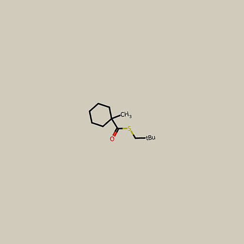 CC(C)(C)CSC(=O)C1(C)CCCCC1